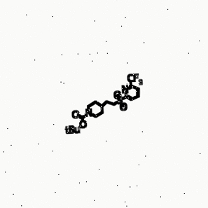 CC(C)(C)OC(=O)N1CCC(CCS(=O)(=O)c2cccc(C(F)(F)F)n2)CC1